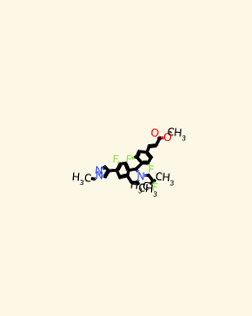 CCn1cc(-c2cc3c(cc2F)C(c2c(F)cc(/C=C/C(=O)OC)cc2F)N(CC(C)(C)F)C(C)C3)cn1